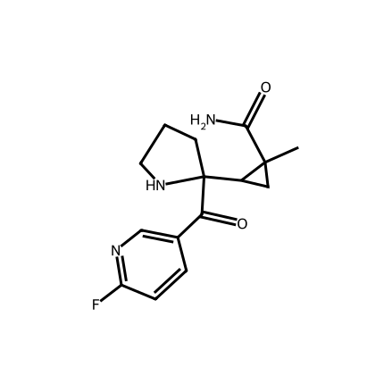 CC1(C(N)=O)CC1C1(C(=O)c2ccc(F)nc2)CCCN1